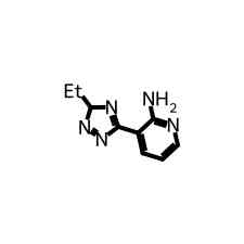 CCC1N=NC(c2cccnc2N)=N1